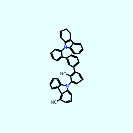 N#Cc1c(-c2cccc(-c3ccccc3-n3c4c(c5ccccc53)CCC=C4)c2)cccc1-n1c2ccccc2c2c(C#N)cccc21